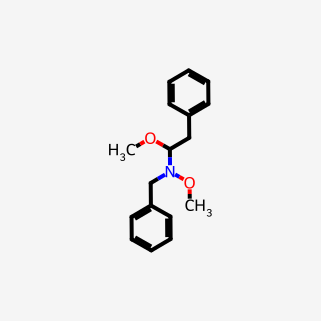 COC(Cc1ccccc1)N(Cc1ccccc1)OC